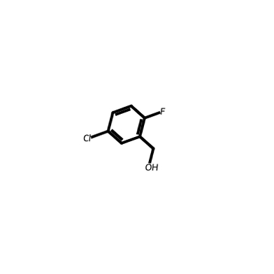 OCc1cc(Cl)ccc1F